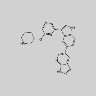 c1cc2cc(-c3ccc4[nH]cc(-c5cncc(OC6CCCNC6)n5)c4c3)cnc2[nH]1